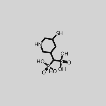 O=P(O)(O)C(C1CNCC(S)C1)P(=O)(O)O